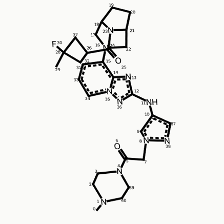 CN1CCN(C(=O)Cn2cc(Nc3nc4c(N5CC6CCC(C5)N6C(=O)C5CC(C)(F)C5)cccn4n3)cn2)CC1